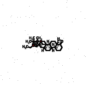 CCOC[C@@]1(O)CC[C@@]2(CO[Si](C)(C)C(C)(C)C)[C@H](CC[C@@H]3[C@@H]2CC[C@]2(C)C(=O)CCC[C@@H]32)C1